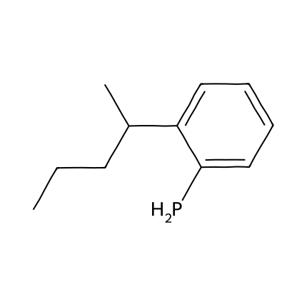 CCCC(C)c1ccccc1P